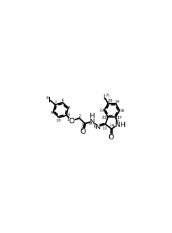 O=C(COc1ccc(I)cc1)N/N=C1/C(=O)Nc2ccc(I)cc21